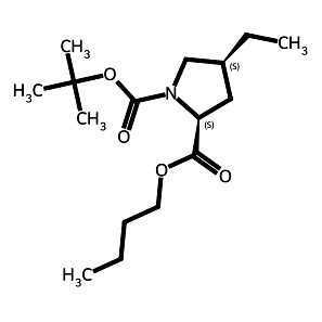 CCCCOC(=O)[C@@H]1C[C@H](CC)CN1C(=O)OC(C)(C)C